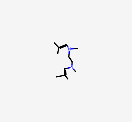 CC(C)=CN(C)CCN(C)C=C(C)C